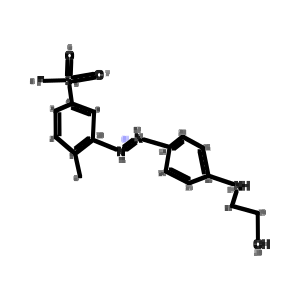 Cc1ccc(S(=O)(=O)F)cc1/N=N/c1ccc(NCCO)cc1